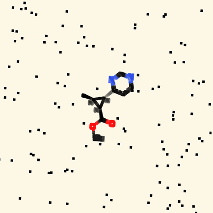 C[C@@H]1[C@H](C(=O)OC(C)(C)C)[C@H]1c1ccncn1